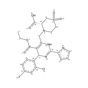 CCOC(=O)C1=C(CN2CCS(=O)(=O)C[C@H]2C(=O)O)NC(c2nccs2)=NC1c1ccc(F)cc1Cl